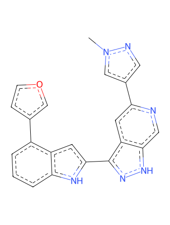 Cn1cc(-c2cc3c(-c4cc5c(-c6ccoc6)cccc5[nH]4)n[nH]c3cn2)cn1